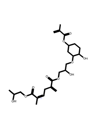 C=C(C)C(=O)OC1CCC(O)C(OCC(O)COC(=O)C(=C)C/C=C(/C)C(=O)OCC(C)O)C1